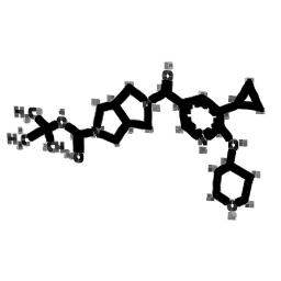 CC(C)(C)OC(=O)N1CC2CN(C(=O)c3cnc(OC4CCOCC4)c(C4CC4)c3)CC2C1